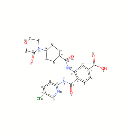 O=C(O)c1ccc(C(=O)Nc2ccc(Cl)cn2)c(NC(=O)C2CCC(N3CCOCC3=O)CC2)c1